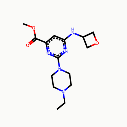 CCN1CCN(c2nc(NC3COC3)cc(C(=O)OC)n2)CC1